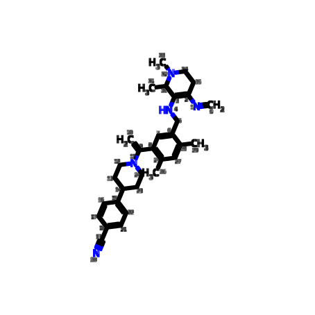 C=NC1=C(NCc2cc(C(=C)N3CCC(c4ccc(C#N)cc4)CC3)c(C)cc2C)C(C)N(C)CC1